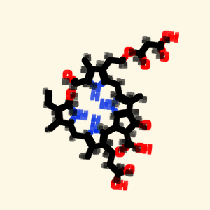 C=CC1=C(C)C(Cc2[nH]c(C3c4[nH]c(Cc5[nH]c(C=O)c(C)c5CCOC(=O)CC(=O)O)c(C)c4C(=O)C3C(=O)O)c(CCC(=O)O)c2C)NC1=O